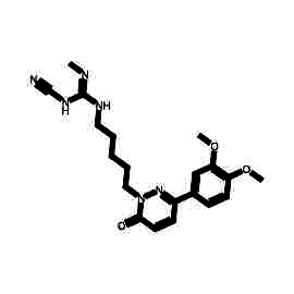 C/N=C(\NC#N)NCCCCCn1nc(-c2ccc(OC)c(OC)c2)ccc1=O